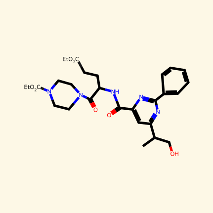 CCOC(=O)CCC(NC(=O)c1cc(C(C)CO)nc(-c2ccccc2)n1)C(=O)N1CCN(C(=O)OCC)CC1